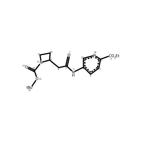 CCOC(=O)c1ccc(NC(=O)CC2CCN2C(=O)OC(C)(C)C)cn1